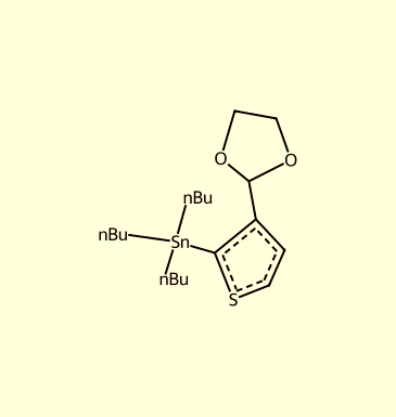 CCC[CH2][Sn]([CH2]CCC)([CH2]CCC)[c]1sccc1C1OCCO1